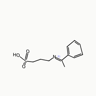 C/C(=N\CCCS(=O)(=O)O)c1ccccc1